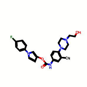 N#Cc1cc(NC(=O)Oc2ccn(-c3ccc(F)cc3)c2)ccc1N1CCN(CCO)CC1